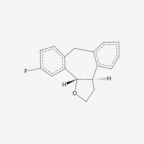 Fc1ccc2c(c1)[C@H]1OC[CH][C@@H]1c1ccccc1C2